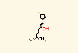 C[C@H](CCCC(O)/C=C/[C@H]1CC[C@@H](F)C1)N=O